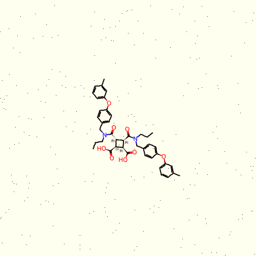 CCCN(Cc1ccc(Oc2cccc(C)c2)cc1)C(=O)[C@H]1[C@H](C(=O)O)[C@H](C(=O)O)[C@@H]1C(=O)N(CCC)Cc1ccc(Oc2cccc(C)c2)cc1